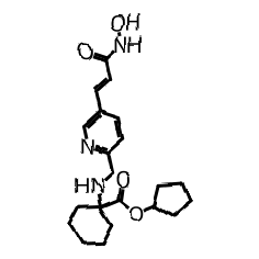 O=C(C=Cc1ccc(CNC2(C(=O)OC3CCCC3)CCCCC2)nc1)NO